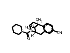 C[C@@H]1[C@H]2Cc3cc(C#N)ccc3[C@]1(C)CCN2C(=O)N1CCCCC1